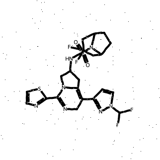 O=S(=O)(NC1CC2=C(c3ccn(C(F)F)n3)CN=C(c3nccs3)N2C1)N1C2CCC1CC(F)(F)C2